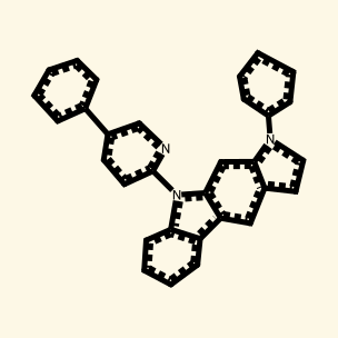 c1ccc(-c2ccc(-n3c4ccccc4c4cc5ccn(-c6ccccc6)c5cc43)nc2)cc1